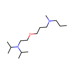 CCCN(C)CCCOCCN(C(C)C)C(C)C